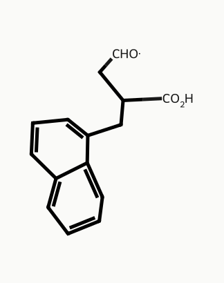 O=[C]CC(Cc1cccc2ccccc12)C(=O)O